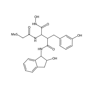 CSCC(=O)NC(C(=O)NO)C(Cc1cccc(O)c1)C(=O)NC1c2ccccc2CC1O